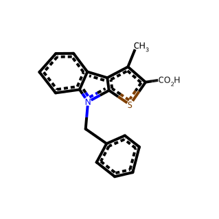 Cc1c(C(=O)O)sc2c1c1ccccc1n2Cc1ccccc1